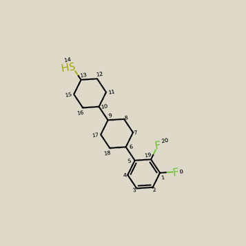 Fc1cccc(C2CCC(C3CCC(S)CC3)CC2)c1F